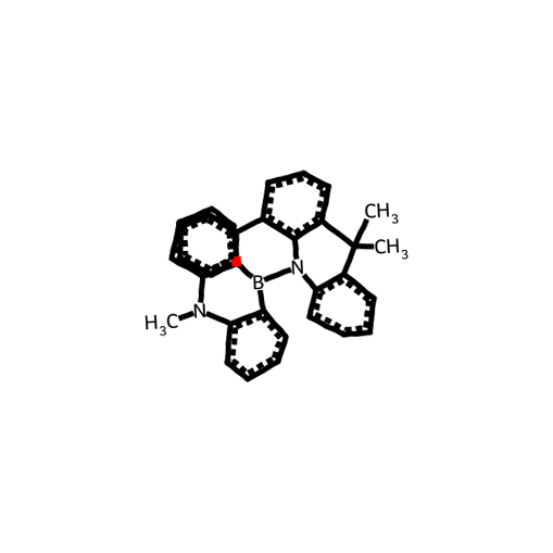 CN1c2ccccc2B(N2c3ccccc3C(C)(C)c3cccc(-c4ccccc4)c32)c2ccccc21